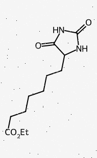 CCOC(=O)CCCCCCC1NC(=O)NC1=O